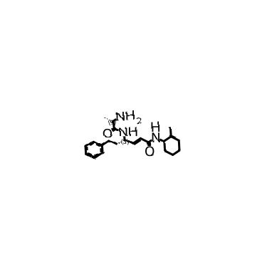 CC1CCCCC1NC(=O)C=C[C@H](CCc1ccccc1)NC(=O)[C@H](C)N